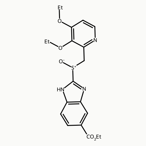 CCOC(=O)c1ccc2[nH]c([S+]([O-])Cc3nccc(OCC)c3OCC)nc2c1